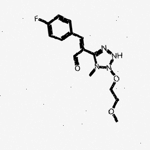 COCCON1NN=C(C(C=O)=Cc2ccc(F)cc2)N1C